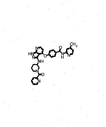 Cc1ccnc(NC(=O)c2ccc(Oc3ccnc4[nH]nc(NC5CCCN(C(=O)c6ccccn6)C5)c34)cc2)c1